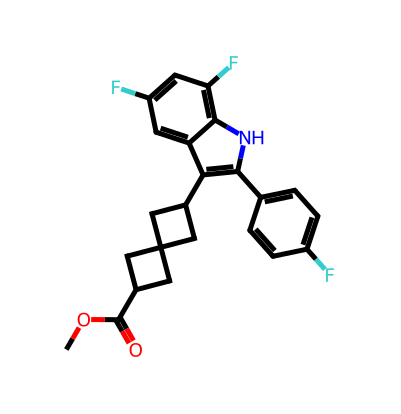 COC(=O)C1CC2(C1)CC(c1c(-c3ccc(F)cc3)[nH]c3c(F)cc(F)cc13)C2